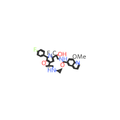 COc1cc(C(=O)NCC(O)(c2cc3c(c(-c4ccc(F)cc4)n2)OC[C@]3(C)CNC2CC2)C(F)(F)F)cc2cccnc12